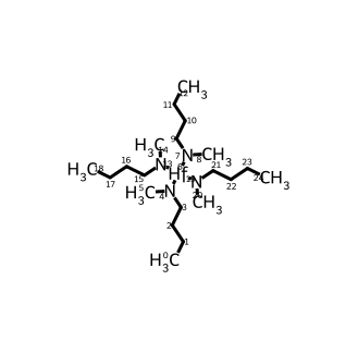 CCCC[N](C)[Hf]([N](C)CCCC)([N](C)CCCC)[N](C)CCCC